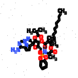 CCCCCCCCCCCCOC(=O)[C@H](C)NP(=O)(OC[C@H]1O[C@@](C#N)(c2ccc3c(N)ncnn23)[C@H](OC(=O)C(C)C)[C@@H]1OC(=O)C(C)C)Oc1ccccc1